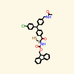 CC(=O)NCc1ccc([C](c2ccc(Cl)cc2)c2ccc(C(=O)[C@H](CS)NC(=O)OCC3c4ccccc4-c4ccccc43)cc2)cc1